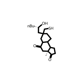 CCCC[C@H](O)CC1(CS)CCC2C(C1)C(=O)C[C@]1(C)C(=O)CCC21